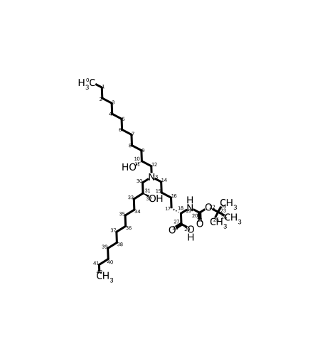 CCCCCCCCCC[C@@H](O)CN(CCCC[C@H](NC(=O)OC(C)(C)C)C(=O)O)C[C@@H](O)CCCCCCCCCC